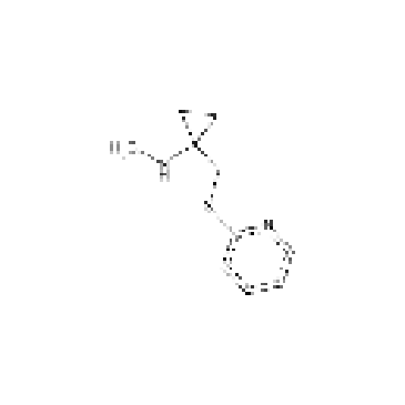 CNC1(CSc2ccccn2)CC1